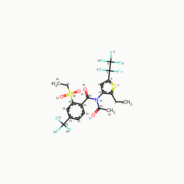 CCc1sc(C(F)(F)C(F)(F)F)cc1N(C(C)=O)C(=O)c1ccc(C(F)(F)F)cc1S(=O)(=O)CC